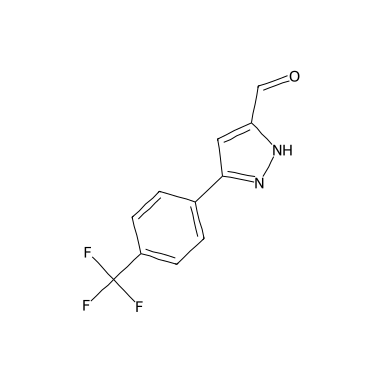 O=Cc1cc(-c2ccc(C(F)(F)F)cc2)n[nH]1